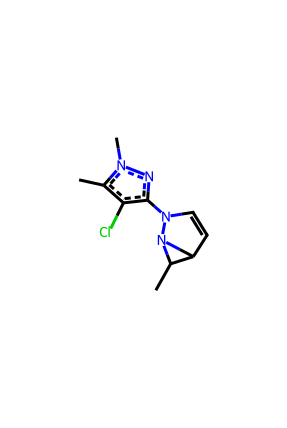 Cc1c(Cl)c(N2C=CC3C(C)N32)nn1C